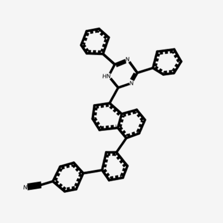 N#Cc1ccc(-c2cccc(-c3cccc4c(C5N=C(c6ccccc6)N=C(c6ccccc6)N5)cccc34)c2)cc1